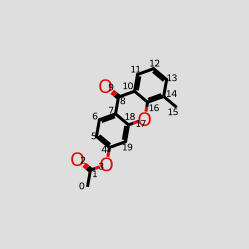 CC(=O)Oc1ccc2c(=O)c3cccc(C)c3oc2c1